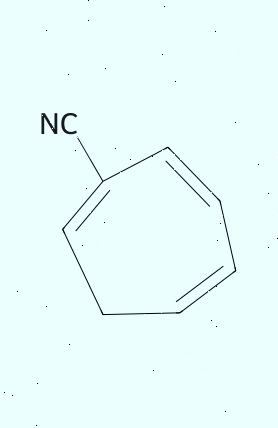 N#CC1=CCC=CC=C1